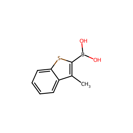 Cc1c(B(O)O)sc2ccccc12